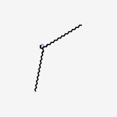 CCCCCCCCCCCCCCCCCCCC=CC1=C(C=CCCCCCCCCCCCCCCCCCCC)[N]C=C1